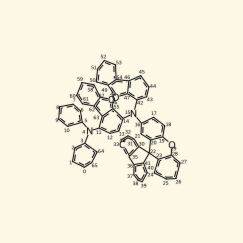 c1ccc(N(c2ccccc2)c2ccc(N(c3ccc4c(c3)C3(c5ccccc5O4)c4ccccc4-c4ccccc43)c3cccc4c3oc3ccccc34)c3oc4ccccc4c23)cc1